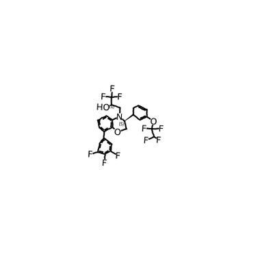 O[C@@H](CN1c2cccc(-c3cc(F)c(F)c(F)c3)c2OC[C@@H]1C1C=C(OC(F)(F)C(F)F)C=CC1)C(F)(F)F